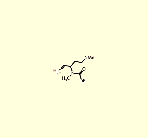 C=CC(CCNC)N(C)C(=O)CCC